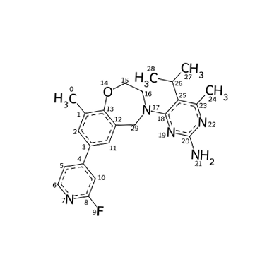 Cc1cc(-c2ccnc(F)c2)cc2c1OCCN(c1nc(N)nc(C)c1C(C)C)C2